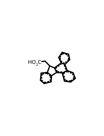 O=C(O)CC1c2ccccc2-c2c1c1ccccc1c1ccccc21